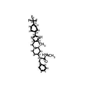 CNC(=O)N(Cc1ccccc1)C1CCN(Cc2nc(-c3ccc(C(F)(F)F)cc3)[nH]c2C)CC1